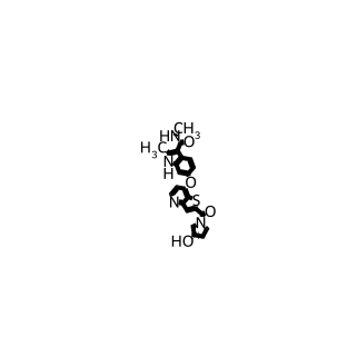 CNC(=O)c1c(C)[nH]c2cc(Oc3ccnc4cc(C(=O)N5CC[C@@H](O)C5)sc34)ccc12